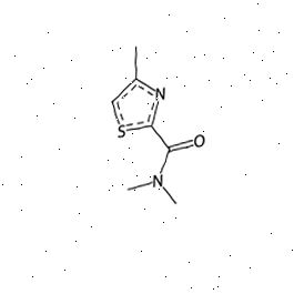 Cc1csc(C(=O)N(C)C)n1